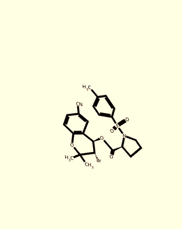 Cc1ccc(S(=O)(=O)N2CCC[C@H]2C(=O)O[C@@H]2c3cc(C#N)ccc3OC(C)(C)[C@H]2Br)cc1